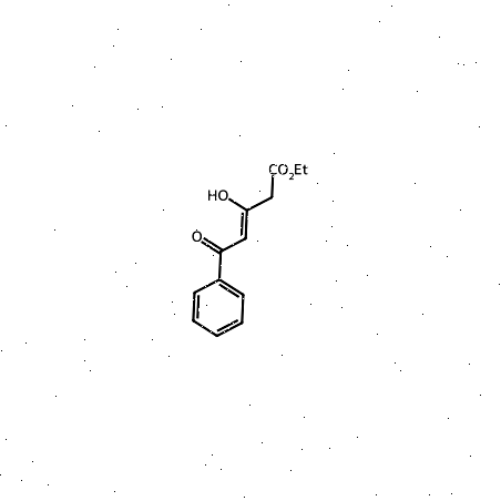 CCOC(=O)C/C(O)=C/C(=O)c1ccccc1